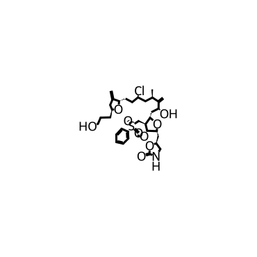 C=C([C@H](C)C[C@@H](Cl)CC[C@@H]1O[C@@H](CCCO)CC1=C)[C@H](O)C[C@@H]1O[C@H](C[C@H]2CNC(=O)O2)[C@H](OC)[C@H]1CS(=O)(=O)c1ccccc1